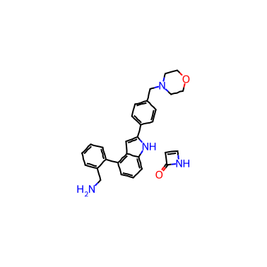 NCc1ccccc1-c1cccc2[nH]c(-c3ccc(CN4CCOCC4)cc3)cc12.O=C1C=CN1